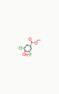 CCOC(=O)c1cc(F)c(O)c(Cl)c1